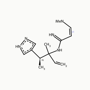 C=CC(C)(NC(=N)/C=C\NC)[C@@H](C)c1cn[nH]c1